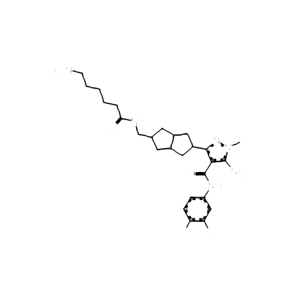 Cn1nc(C2CC3CC(CNC(=O)CCCCCN)CC3C2)c(C(=O)Nc2ccc(F)c(Cl)c2)c1N